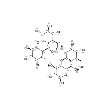 OC[C@H]1O[C@@H](O[C@H]2[C@H](O)[C@@H](O)[C@H](O)O[C@@H]2CO)[C@H](O)[C@@H](O)[C@@H]1O.OC[C@H]1O[C@H](O[C@H]2[C@H](O)[C@@H](O)[C@H](O)O[C@@H]2CO)[C@H](O)[C@@H](O)[C@@H]1O